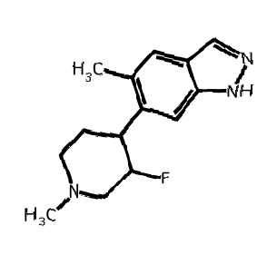 Cc1cc2cn[nH]c2cc1C1CCN(C)CC1F